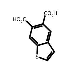 O=C(O)c1cc2ccsc2cc1C(=O)O